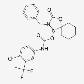 O=C(Nc1ccc(Cl)c(C(F)(F)F)c1)ON1N(Cc2ccccc2)C(=O)OC12CCCCC2